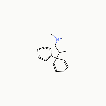 CC(CN(C)C)C1(c2ccccc2)C=CCC=C1